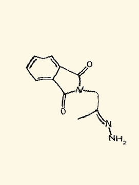 C/C(CN1C(=O)c2ccccc2C1=O)=N\N